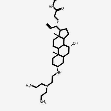 C=C[C@H](CCC(=O)NC(C)C)C1CCC2C3C(CC[C@@]21C)[C@@]1(C)CC[C@H](NCCN(CCN)CCN)CC1C[C@H]3O